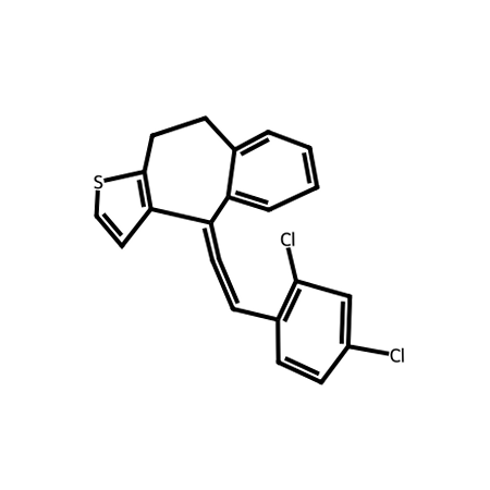 Clc1ccc(C=C=C2c3ccccc3CCc3sccc32)c(Cl)c1